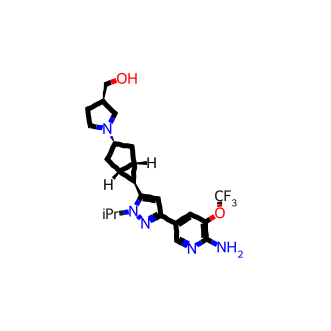 CC(C)n1nc(-c2cnc(N)c(OC(F)(F)F)c2)cc1[C@H]1[C@@H]2C[C@H](N3CC[C@@H](CO)C3)C[C@@H]21